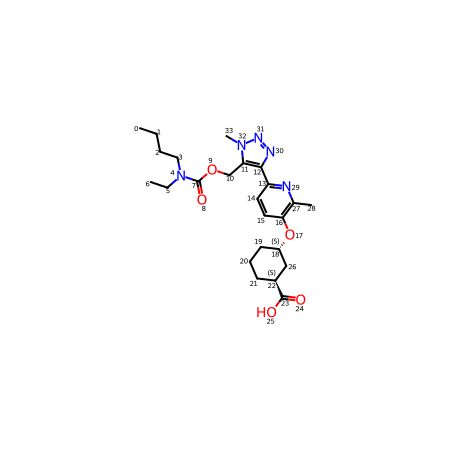 CCCCN(CC)C(=O)OCc1c(-c2ccc(O[C@H]3CCC[C@H](C(=O)O)C3)c(C)n2)nnn1C